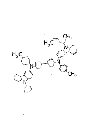 C/C=C\CC(CC)N1C2C=CC(N(c3ccc(C)cc3)C3C=CC(C4CC=C(N(C5=CCC6C(=C5)C5C=CC=CC5N6C5=CCCC=C5)C5CCC(C)CC5)CC4)=CC3)=CC2C2C=CCCC21